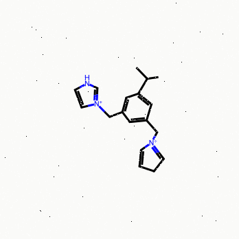 CC(C)c1cc(C[N+]2=CCC=C2)cc(C[n+]2cc[nH]c2)c1